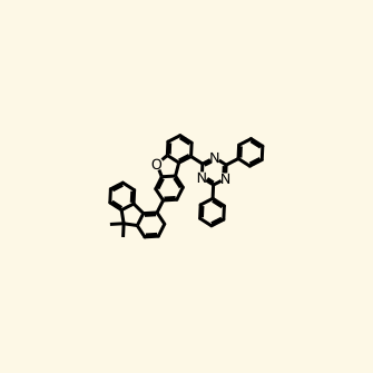 CC1(C)c2ccccc2C2=C(c3ccc4c(c3)oc3cccc(-c5nc(-c6ccccc6)nc(-c6ccccc6)n5)c34)CC=CC21